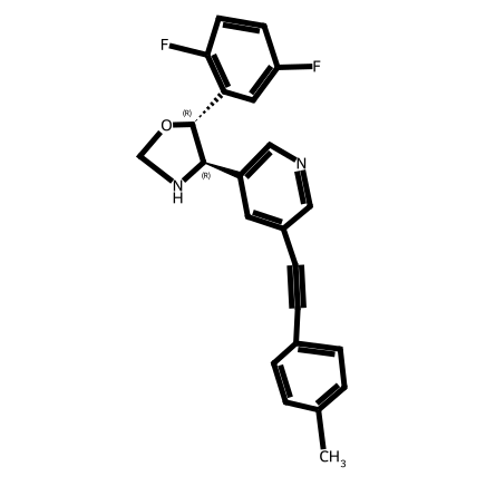 Cc1ccc(C#Cc2cncc([C@H]3NCO[C@@H]3c3cc(F)ccc3F)c2)cc1